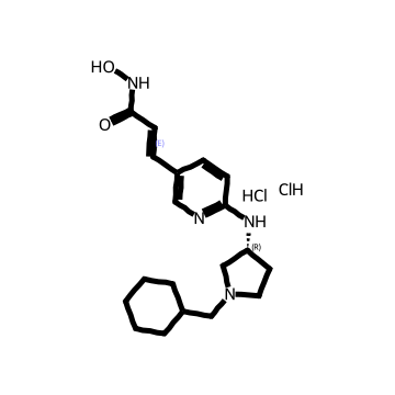 Cl.Cl.O=C(/C=C/c1ccc(N[C@@H]2CCN(CC3CCCCC3)C2)nc1)NO